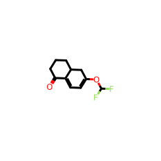 O=C1CCCC2CC(OC(F)F)=CC=C12